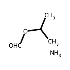 CC(C)OC=O.N